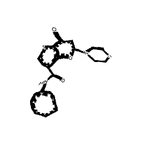 O=C(Nc1ccccc1)c1csc2c(=O)cc(N3CCOCC3)oc12